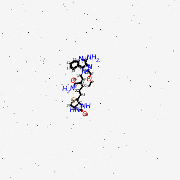 CCOCc1nc2c(N)nc3ccccc3c2n1CCC(CCCC1SCC2NC(=O)NC21)C(N)=O